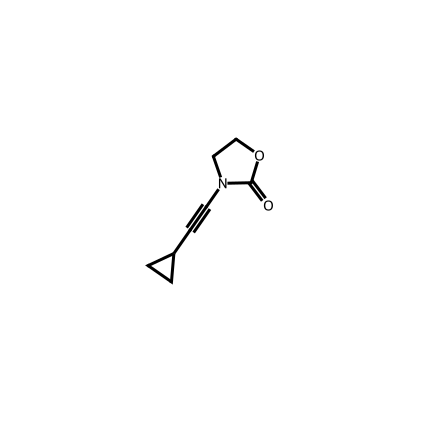 O=C1OCCN1C#CC1CC1